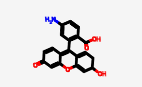 Nc1ccc(C(=O)O)c(-c2c3ccc(=O)cc-3oc3c2=CCC(O)C=3)c1